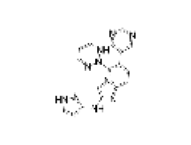 C1=CNN(c2c(-c3cncnc3)ccc3nc(Nc4cc[nH]n4)cn23)N=C1